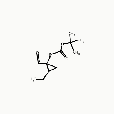 CC[C@@H]1C[C@]1(C=O)NC(=O)OC(C)(C)C